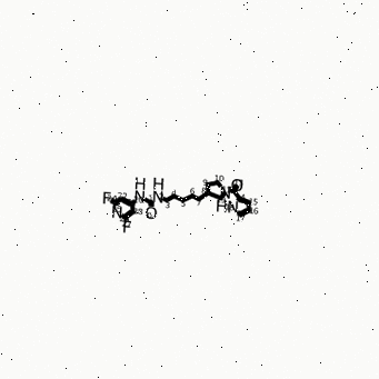 O=C(NCCCCCC1CCN(C(=O)c2ccc[nH]2)C1)Nc1cc(F)nc(F)c1